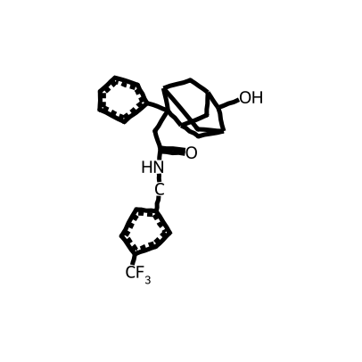 O=C(CC1(c2ccccc2)C2CC3CC1CC(C2)C3O)NCc1ccc(C(F)(F)F)cc1